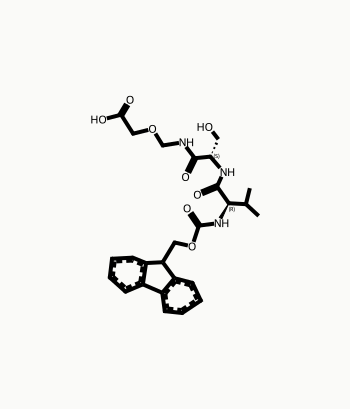 CC(C)[C@@H](NC(=O)OCC1c2ccccc2-c2ccccc21)C(=O)N[C@@H](CO)C(=O)NCOCC(=O)O